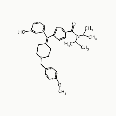 COc1ccc(CN2CCC(=C(c3ccc(C(=O)N(C(C)C)C(C)C)cc3)c3cccc(O)c3)CC2)cc1